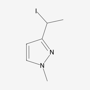 CC(I)c1ccn(C)n1